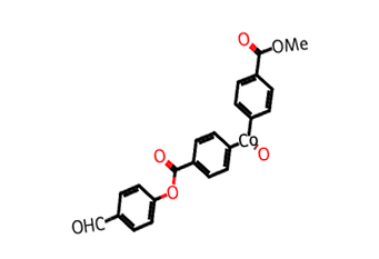 COC(=O)c1cc[c]([Co](=[O])[c]2ccc(C(=O)Oc3ccc(C=O)cc3)cc2)cc1